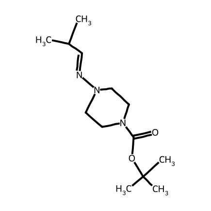 CC(C)/C=N/N1CCN(C(=O)OC(C)(C)C)CC1